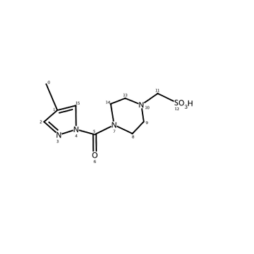 Cc1cnn(C(=O)N2CCN(CS(=O)(=O)O)CC2)c1